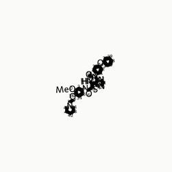 COc1cc(NC(=O)c2sc3ncnc4c3c2NC(=O)N4c2ccc(Oc3ccccc3)cc2)ccc1OCCN1CCCCC1